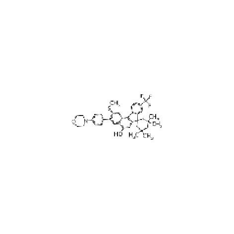 CSc1cc2c3c(cc(O)c2cc1-c1ccc(N2CCOCC2)cc1)C1(CC(C)(C)CC(C)(C)C1)c1cc(C(F)(F)F)ccc1-3